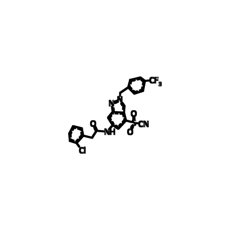 N#CS(=O)(=O)c1cc(NC(=O)Cc2ccccc2Cl)cc2nn(Cc3ccc(C(F)(F)F)cc3)cc12